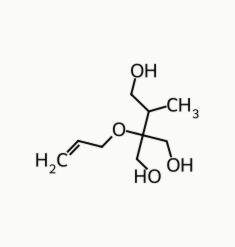 C=CCOC(CO)(CO)C(C)CO